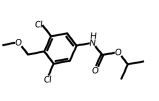 COCc1c(Cl)cc(NC(=O)OC(C)C)cc1Cl